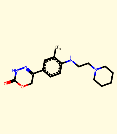 O=C1NN=C(c2ccc(NCCN3CCCCC3)c(C(F)(F)F)c2)CO1